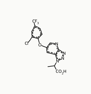 CC(C(=O)O)n1nnc2ncc(Oc3ccc(C(F)(F)F)cc3Cl)cc21